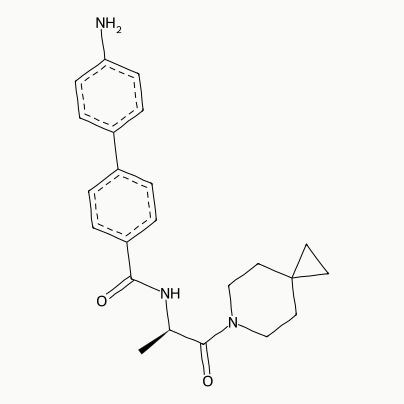 C[C@@H](NC(=O)c1ccc(-c2ccc(N)cc2)cc1)C(=O)N1CCC2(CC1)CC2